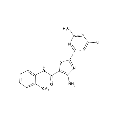 Cc1nc(Cl)cc(-c2nc(N)c(C(=O)Nc3ccccc3C)s2)n1